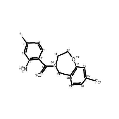 Nc1cc(I)ccc1C(=O)N1CCOc2cc(F)ccc2C1